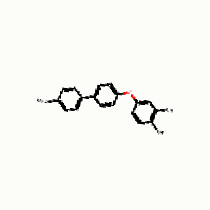 COc1ccc(-c2ccc(Oc3ccc(C#N)c(C#N)c3)cc2)cc1